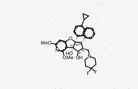 COc1cc2c(c(OC)n1)[C@]1(O)[C@H](O)[C@H](CN3CCC(F)(F)CC3)[C@@H](c3ccccc3)[C@]1(c1ccc(C3CC3)cc1)O2